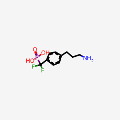 NCCCc1ccc(C(F)(F)P(=O)(O)O)cc1